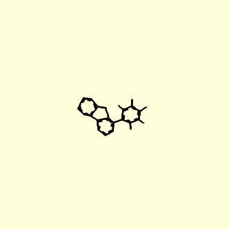 Fc1c(F)c(F)c(-c2cccc3c2[CH]c2ccccc2-3)c(F)c1F